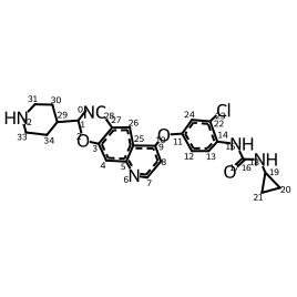 CC(Oc1cc2nccc(Oc3ccc(NC(=O)NC4CC4)c(Cl)c3)c2cc1C#N)C1CCNCC1